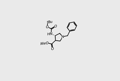 COC(=O)C1CN(Cc2ccccc2)C[C@H]1NC(=O)OC(C)(C)C